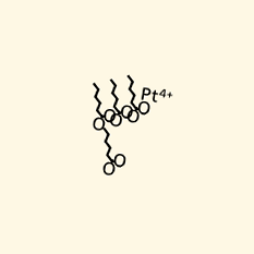 CCCCCC(=O)[O-].CCCCCC(=O)[O-].CCCCCC(=O)[O-].CCCCCC(=O)[O-].[Pt+4]